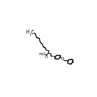 CCCCCCCCCCC(CCc1ccc(OCc2ccccc2)cc1)C(=O)O